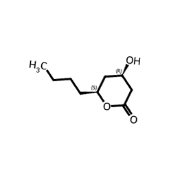 CCCC[C@H]1C[C@@H](O)CC(=O)O1